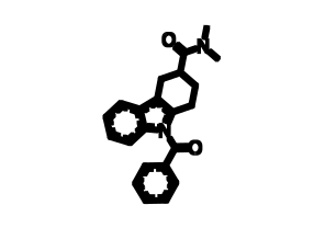 CN(C)C(=O)C1CCc2c(c3ccccc3n2C(=O)c2ccccc2)C1